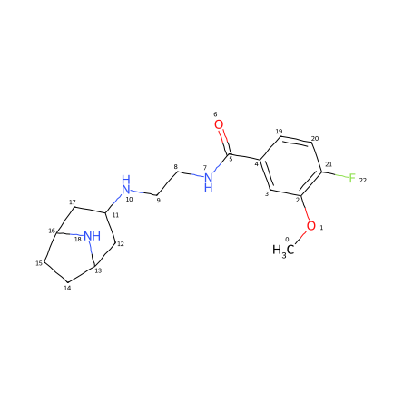 COc1cc(C(=O)NCCNC2CC3CCC(C2)N3)ccc1F